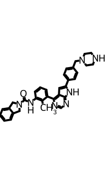 Cc1c(NC(=O)N2Cc3ccccc3C2)cccc1-c1ncnc2[nH]c(-c3ccc(CN4CCNCC4)cc3)cc12